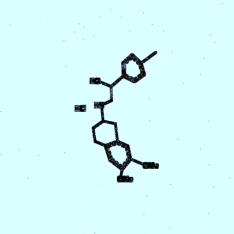 COc1cc2c(cc1OC)CC(NCC(O)c1ccc(C)cc1)CC2.Cl